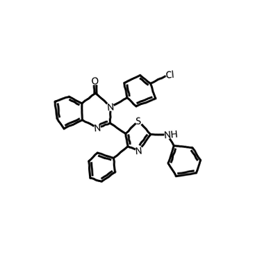 O=c1c2ccccc2nc(-c2sc(Nc3ccccc3)nc2-c2ccccc2)n1-c1ccc(Cl)cc1